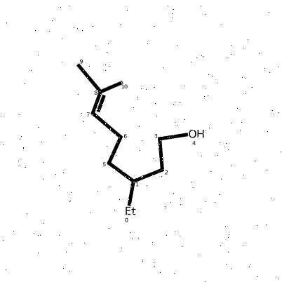 CCC(CCO)CCC=C(C)C